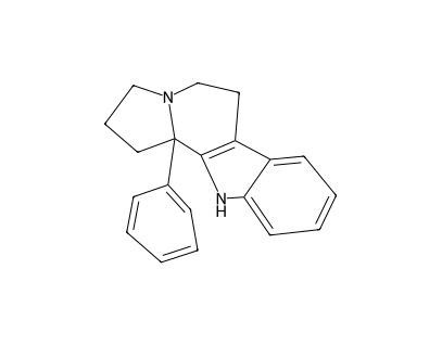 c1ccc(C23CCCN2CCc2c3[nH]c3ccccc23)cc1